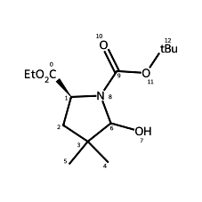 CCOC(=O)[C@@H]1CC(C)(C)C(O)N1C(=O)OC(C)(C)C